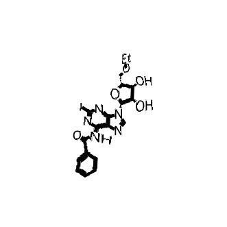 CCOC[C@H]1O[C@@H](n2cnc3c(NC(=O)c4ccccc4)nc(I)nc32)[C@H](O)[C@@H]1O